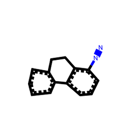 N#[N+]c1cccc2c1CCc1ccccc1-2